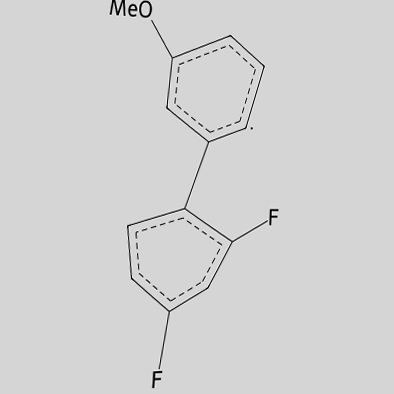 COc1cc[c]c(-c2ccc(F)cc2F)c1